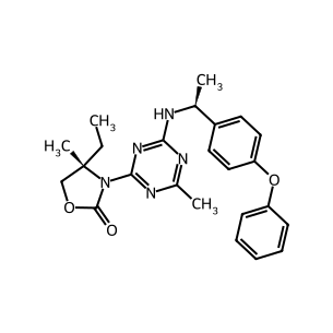 CC[C@@]1(C)COC(=O)N1c1nc(C)nc(N[C@@H](C)c2ccc(Oc3ccccc3)cc2)n1